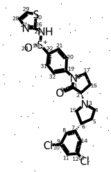 O=C1[C@@H](N2CC[C@H](c3cc(Cl)cc(Cl)c3)C2)CCN1c1ccc([S+]([O-])Nc2nccs2)cc1